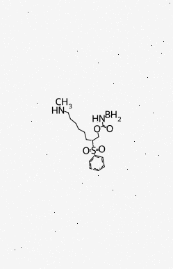 BNC(=O)OCC(CCCCCCNC)S(=O)(=O)c1ccccc1